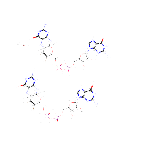 Nc1nc2c(c(=O)[nH]1)N[C@H]1C([S-])=C([S-])[C@@H](COP(=O)([O-])OP(=O)([O-])OC[C@H]3O[C@@H](n4cnc5c(=O)[nH]c(N)nc54)[C@H](O)[C@@H]3O)O[C@H]1N2.Nc1nc2c(c(=O)[nH]1)N[C@H]1C([S-])=C([S-])[C@@H](COP(=O)([O-])OP(=O)([O-])OC[C@H]3O[C@@H](n4cnc5c(=O)[nH]c(N)nc54)[C@H](O)[C@@H]3O)O[C@H]1N2.[O]=[Mo+4]